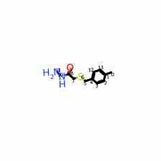 Cc1ccc(CSCC(=O)NN)cc1